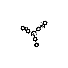 C1=CC(c2nc3ccccc3o2)CC=C1c1cc(-c2ccc3c(c2)sc2ccccc23)nc(-c2ccc(-c3ccccc3)cc2)n1